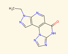 CCn1ncc2c1ncc1c(=O)[nH]c3ncnn3c12